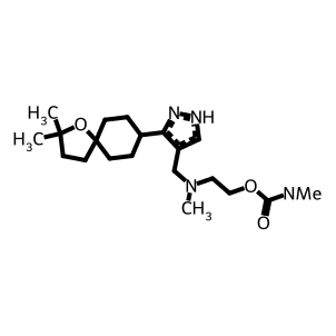 CNC(=O)OCCN(C)Cc1c[nH]nc1C1CCC2(CC1)CCC(C)(C)O2